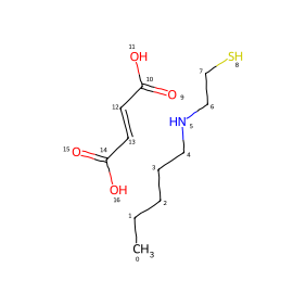 CCCCCNCCS.O=C(O)C=CC(=O)O